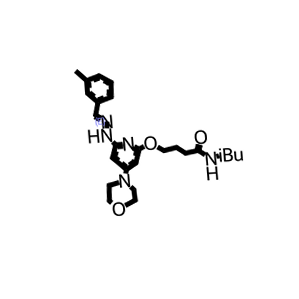 CCC(C)NC(=O)CCCOc1cc(N2CCOCC2)cc(N/N=C/c2cccc(C)c2)n1